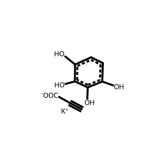 C#CC(=O)[O-].Oc1ccc(O)c(O)c1O.[K+]